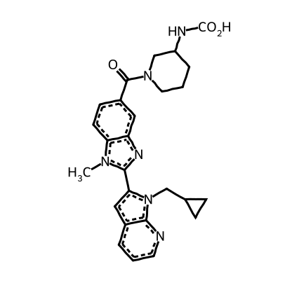 Cn1c(-c2cc3cccnc3n2CC2CC2)nc2cc(C(=O)N3CCCC(NC(=O)O)C3)ccc21